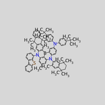 Cc1cc2c3c(c1)N(c1cccc4c1sc1ccccc14)c1cc4c(cc1B3c1cc(N(c3ccc(C(C)(C)C)cc3)c3ccc(C(C)(C)C)cc3)ccc1N2c1cc2c(cc1C)C(C)(C)CCC2(C)C)C(C)(C)c1ccccc1C4(C)C